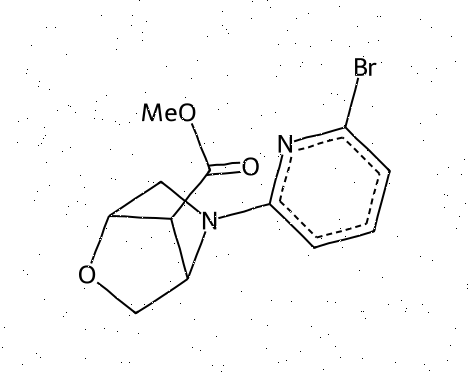 COC(=O)C1C2CN(c3cccc(Br)n3)C1CO2